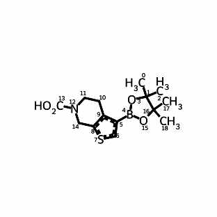 CC1(C)OB(c2csc3c2CCN(C(=O)O)C3)OC1(C)C